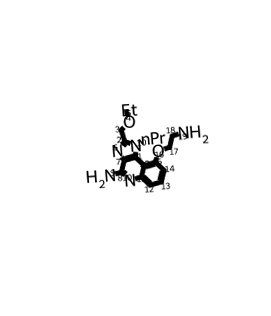 CCCn1c(COCC)nc2c(N)nc3cccc(OCCN)c3c21